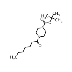 [CH2]CCCCCC(=O)N1CCN(C(=O)OC(C)(C)C)CC1